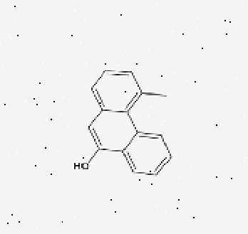 Cc1cccc2cc(O)c3ccccc3c12